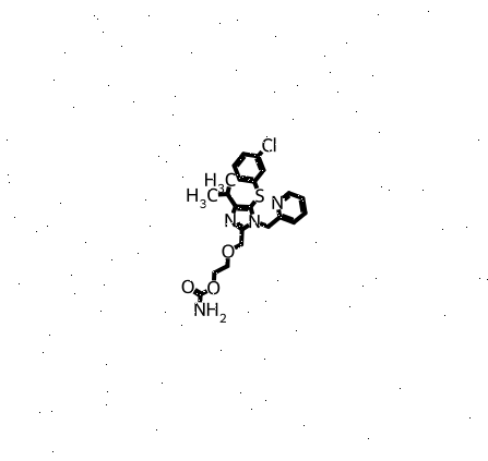 CC(C)c1nc(COCCOC(N)=O)n(Cc2ccccn2)c1Sc1cccc(Cl)c1